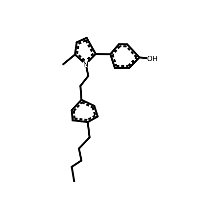 CCCCCc1ccc(CCn2c(C)ccc2-c2ccc(O)cc2)cc1